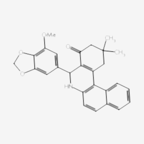 COc1cc(C2Nc3ccc4ccccc4c3C3=C2C(=O)CC(C)(C)C3)cc2c1OCO2